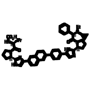 CCN(C1CC1)[C@@H](C(=O)N1CCC[C@H]1c1ncc(-c2ccc(-c3ccc4cc(-c5c[nH]c([C@@H]6CCCN6C(=O)[C@@H](NC(=O)O)C(C)C)n5)ccc4c3)cc2)[nH]1)c1ccccc1